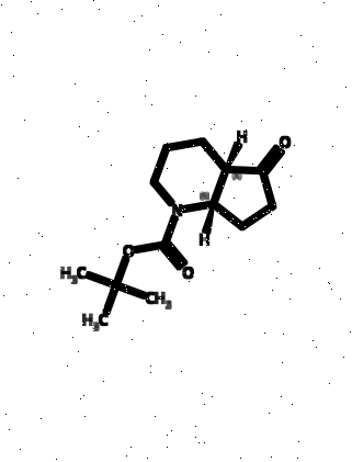 CC(C)(C)OC(=O)N1CCC[C@@H]2C(=O)CC[C@@H]21